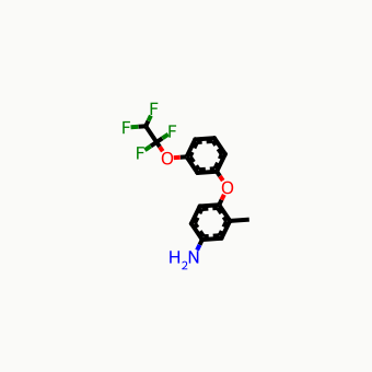 Cc1cc(N)ccc1Oc1cccc(OC(F)(F)C(F)F)c1